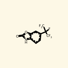 O=c1[nH]c2ccc(C(F)(C(F)(F)F)C(F)(F)F)cc2o1